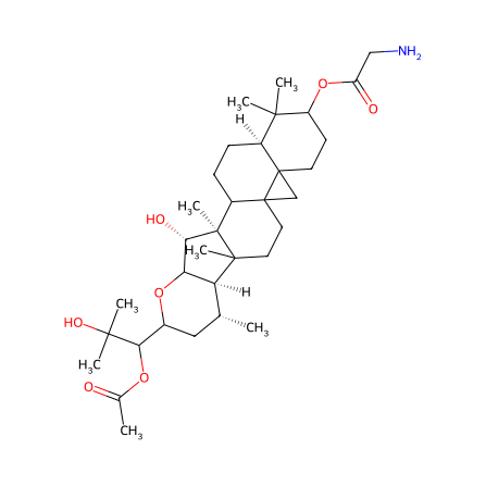 CC(=O)OC(C1C[C@@H](C)[C@H]2C(O1)[C@H](O)[C@@]1(C)C3CC[C@H]4C(C)(C)C(OC(=O)CN)CCC45CC35CCC21C)C(C)(C)O